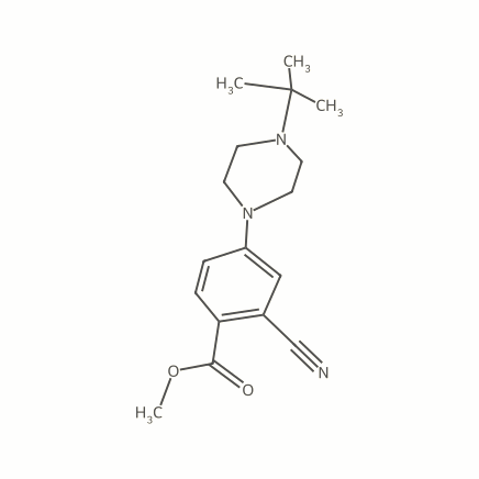 COC(=O)c1ccc(N2CCN(C(C)(C)C)CC2)cc1C#N